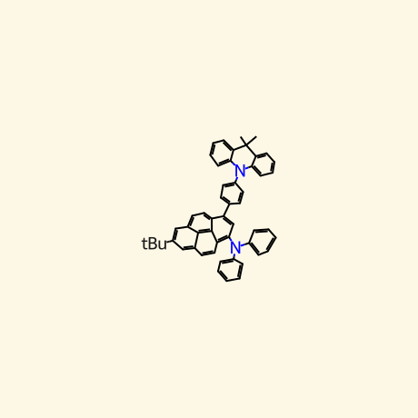 CC(C)(C)c1cc2ccc3c(-c4ccc(N5c6ccccc6C(C)(C)c6ccccc65)cc4)cc(N(c4ccccc4)c4ccccc4)c4ccc(c1)c2c34